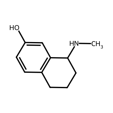 CNC1CCCc2ccc(O)cc21